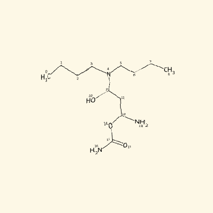 CCCCN(CCCC)C(O)CC(N)OC(N)=O